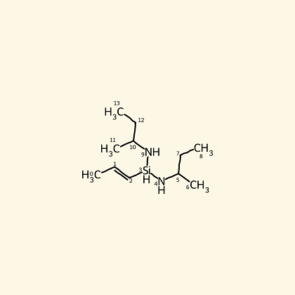 CC=C[SiH](NC(C)CC)NC(C)CC